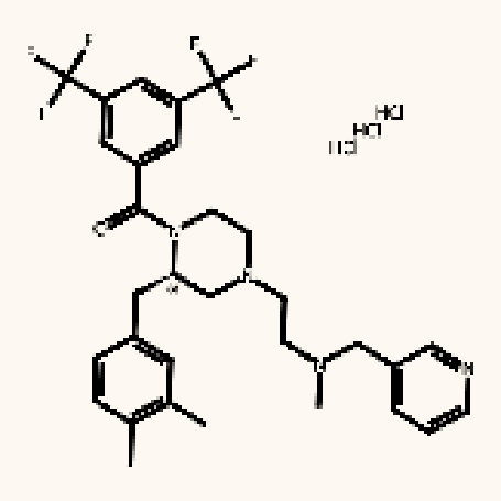 Cc1ccc(C[C@@H]2CN(CCN(C)Cc3cccnc3)CCN2C(=O)c2cc(C(F)(F)F)cc(C(F)(F)F)c2)cc1C.Cl.Cl.Cl